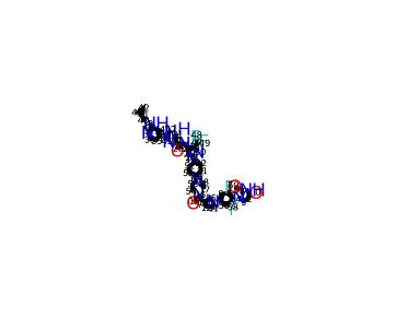 O=C1CCN(c2c(F)cc(N3CC[C@H](C(=O)N4CCN(C5CCC(n6cc(NC(=O)c7cnn(-c8ccnc(NCC9CC9)c8)n7)c(C(F)F)n6)CC5)CC4)C3)cc2F)C(=O)N1